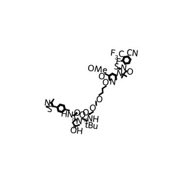 COC(=O)c1cc(N2C(=S)N(c3ccc(C#N)c(C(F)(F)F)c3F)C(=O)C2(C)C)cnc1OCCCCOCCOCC(=O)N[C@H](C(=O)N1C[C@H](O)C[C@H]1C(=O)NCc1ccc(-c2scnc2C)cc1)C(C)(C)C